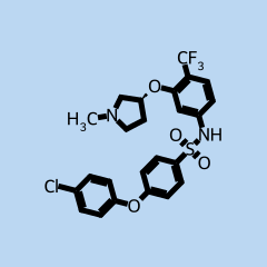 CN1CC[C@@H](Oc2cc(NS(=O)(=O)c3ccc(Oc4ccc(Cl)cc4)cc3)ccc2C(F)(F)F)C1